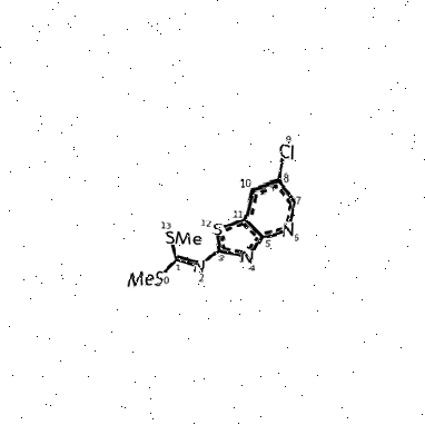 CSC(=Nc1nc2ncc(Cl)cc2s1)SC